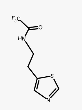 O=C(NCCc1cncs1)C(F)(F)F